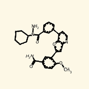 COc1ccc(C(N)=O)cc1-c1cc2nccc(-c3cccc(C(=O)N(N)C4CCCCC4)c3)c2o1